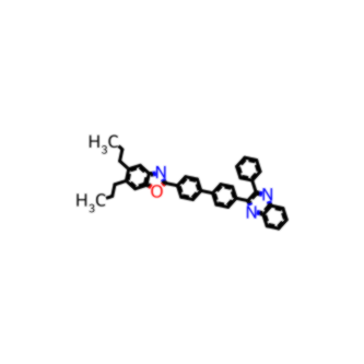 CCCc1cc2nc(-c3ccc(-c4ccc(-c5nc6ccccc6nc5-c5ccccc5)cc4)cc3)oc2cc1CCC